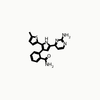 Cc1ccc(-c2[nH]c(-c3ccnc(N)n3)cc2-c2ccccc2C(N)=O)s1